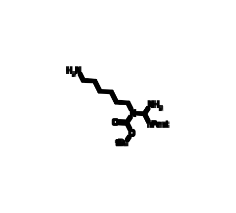 CCCCCC(N)N(CCCCCCN)C(=O)OC(C)(C)C